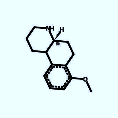 COc1cccc2c1CC[C@@H]1NCCCC21